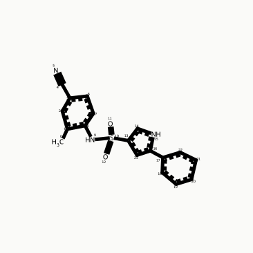 Cc1cc(C#N)ccc1NS(=O)(=O)c1c[nH]c(-c2ccccc2)c1